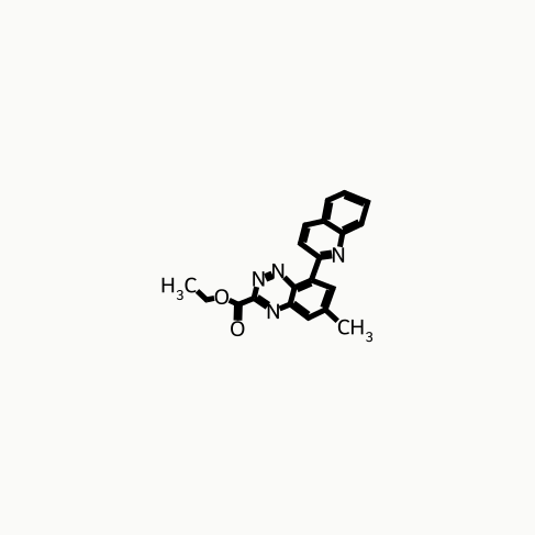 CCOC(=O)c1nnc2c(-c3ccc4ccccc4n3)cc(C)cc2n1